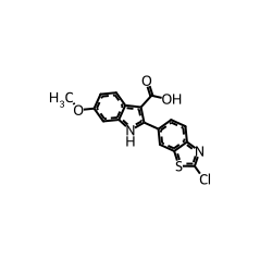 COc1ccc2c(C(=O)O)c(-c3ccc4nc(Cl)sc4c3)[nH]c2c1